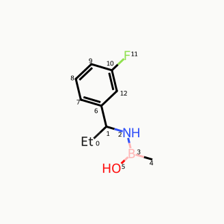 CCC(NB(C)O)c1cccc(F)c1